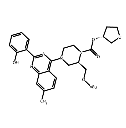 CCCCOC[C@H]1CN(c2nc(-c3ccccc3O)nc3cc(C)ccc23)CCN1C(=O)O[C@@H]1CCOC1